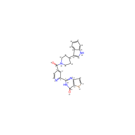 O=C(c1ccnc(-c2nc3ccsc3c(=O)[nH]2)c1)N1CCC(c2c[nH]c3ccccc23)CC1